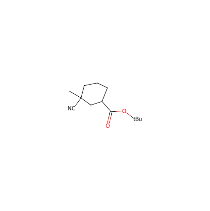 CC1(C#N)CCCC(C(=O)OC(C)(C)C)C1